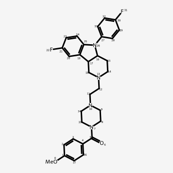 COc1ccc(C(=O)N2CCN(CCN3CCC4C(C3)c3cc(F)ccc3N4c3ccc(F)cc3)CC2)cc1